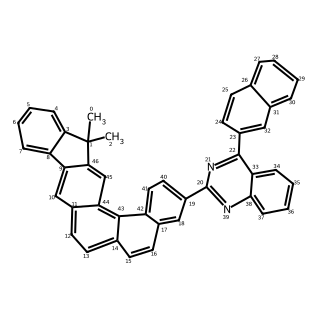 CC1(C)c2ccccc2-c2cc3ccc4ccc5cc(-c6nc(-c7ccc8ccccc8c7)c7ccccc7n6)ccc5c4c3cc21